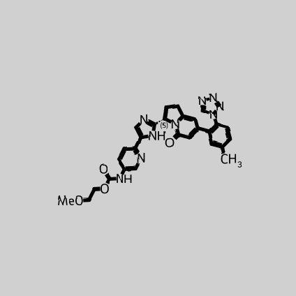 COCCOC(=O)Nc1ccc(-c2cnc([C@@H]3CCc4cc(-c5cc(C)ccc5-n5cnnn5)cc(=O)n43)[nH]2)nc1